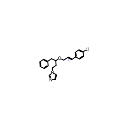 Clc1ccc(/C=C/COC(CCn2ccnc2)Cc2ccccc2)cc1